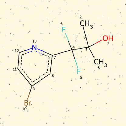 CC(C)(O)C(F)(F)c1cc(Br)ccn1